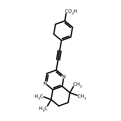 CC1(C)CCC(C)(C)c2nc(C#CC3=CC=C(C(=O)O)CC3)cnc21